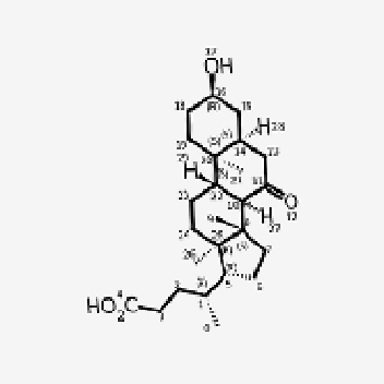 C[C@H](CCC(=O)O)[C@H]1CC[C@@]2(C)[C@@H]3C(=O)C[C@@H]4C[C@H](O)CC[C@]4(C)[C@H]3CC[C@]12C